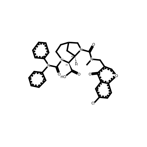 CN(Cc1coc2ccc(Cl)cc2c1=O)C(=O)N1CC2CCN(C(=O)N(c3ccccc3)c3ccccc3)[C@H](C(=O)O)[C@H]1C2